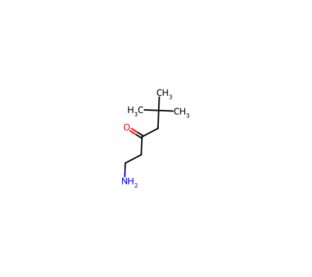 CC(C)(C)CC(=O)CCN